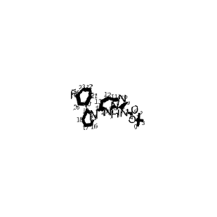 CC(C)(C)OC(=O)Nc1cnc2ccc(N3CCC[C@@H]3c3cccc(F)c3)nn12